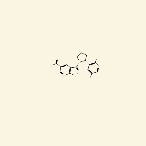 NC(=O)c1cnc2[nH]nc(N3CCC[C@@H]3c3cc(F)cnc3F)c2c1